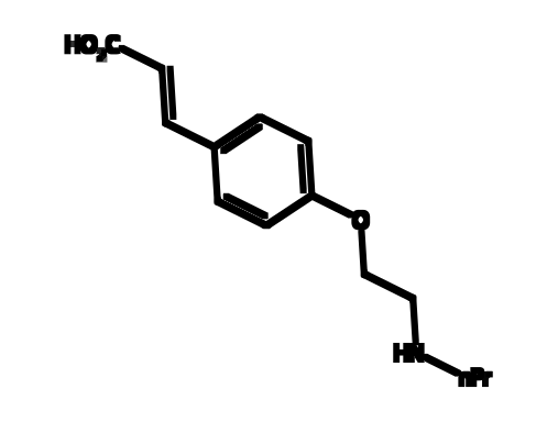 CCCNCCOc1ccc(C=CC(=O)O)cc1